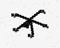 CCCCCCCCCCc1c(CCCCCCCCCC)c(CCCCCCCCCC)c(OCC(=O)O)c(CCCCCCCCCC)c1CCCCCCCCCC